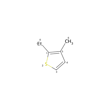 C[CH]c1sccc1C